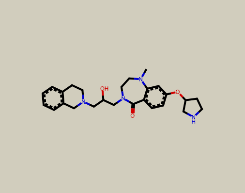 CN1CCN(CC(O)CN2CCc3ccccc3C2)C(=O)c2ccc(OC3CCNC3)cc21